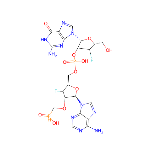 Nc1nc2c(ncn2[C@@H]2O[C@H](CO)C(F)C2OP(=O)(O)OC[C@H]2O[C@@H](n3cnc4c(N)ncnc43)C(OC[PH](=O)O)C2F)c(=O)[nH]1